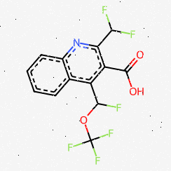 O=C(O)c1c(C(F)F)nc2ccccc2c1C(F)OC(F)(F)F